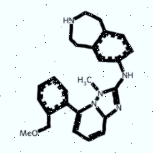 COCc1ccccc1C1=CC=CC2N=C(Nc3ccc4c(c3)CCNCC4)N(C)N12